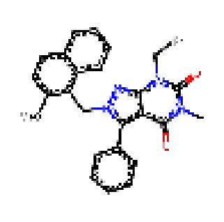 COc1ccc2ccccc2c1Cn1nc2c(c1-c1ccccc1)c(=O)n(C)c(=O)n2CC(C)C